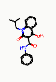 CC(C)Cn1c(=O)c(C(=O)Nc2ccccc2)c(O)c2ccccc21